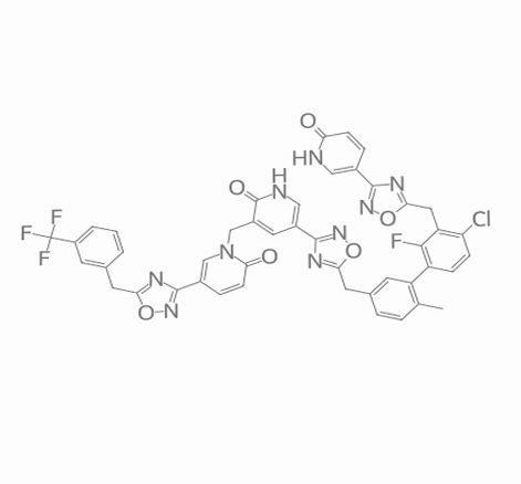 Cc1ccc(Cc2nc(-c3c[nH]c(=O)c(Cn4cc(-c5noc(Cc6cccc(C(F)(F)F)c6)n5)ccc4=O)c3)no2)cc1-c1ccc(Cl)c(Cc2nc(-c3ccc(=O)[nH]c3)no2)c1F